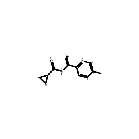 Cc1ccc(C(=N)NC(=O)C2CC2)nc1